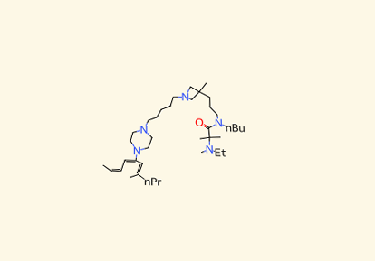 C\C=C/C=C(\C=C(/C)CCC)N1CCN(CCCCCN2CC(C)(CCCN(CCCC)C(=O)C(C)(C)N(C)CC)C2)CC1